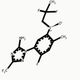 Cc1cc(F)c(-n2nc(C(F)(F)F)nc2N)cc1[S@+]([O-])CC(C)(F)F